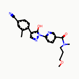 COCCCN(C)C(=O)c1ccc(-n2ncc(-c3ccc(C#N)cc3C)c2O)nc1